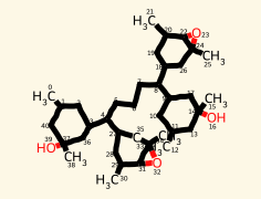 CC1CC(C(CCCC(C2CC(C)CC(C)(O)C2)C2CC(C)C3OC3(C)C2)C2CC(C)C3OC3(C)C2)CC(C)(O)C1